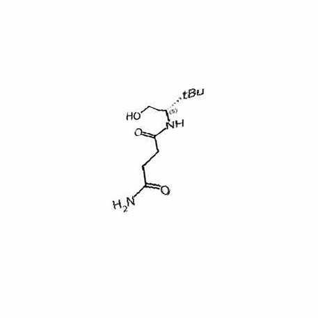 CC(C)(C)[C@@H](CO)NC(=O)CCC(N)=O